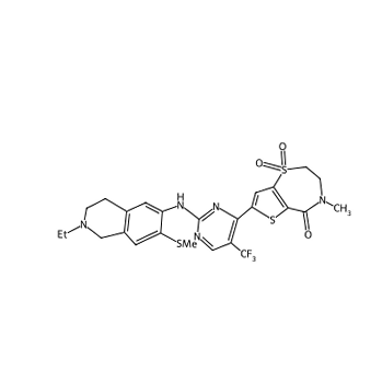 CCN1CCc2cc(Nc3ncc(C(F)(F)F)c(-c4cc5c(s4)C(=O)N(C)CCS5(=O)=O)n3)c(SC)cc2C1